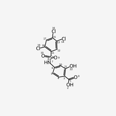 O=C(O)c1ccc(NS(=O)(=O)c2cc(Cl)c(Cl)cc2Cl)cc1O